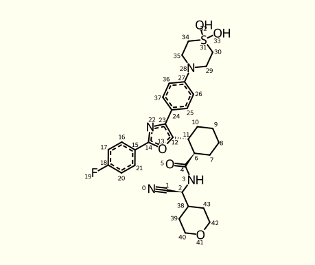 N#C[C@@H](NC(=O)[C@@H]1CCCC[C@H]1c1oc(-c2ccc(F)cc2)nc1-c1ccc(N2CCS(O)(O)CC2)cc1)C1CCOCC1